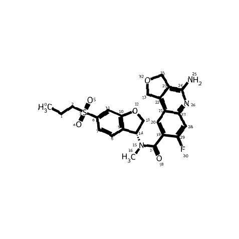 CCCS(=O)(=O)c1ccc2c(c1)OC[C@@H]2N(C)C(=O)c1cc2c3c(c(N)nc2cc1F)COC3